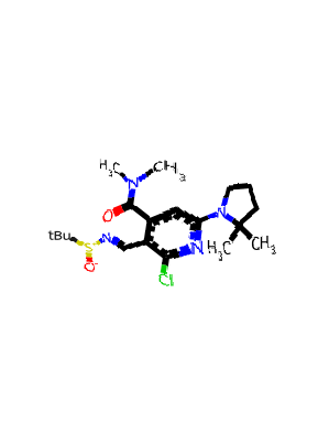 CN(C)C(=O)c1cc(N2CCCC2(C)C)nc(Cl)c1C=N[S+]([O-])C(C)(C)C